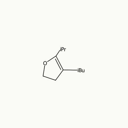 CCC(C)C1=C(C(C)C)OCC1